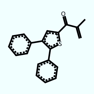 C=C(C)C(=O)c1cc(-c2ccccc2)c(-c2ccccc2)s1